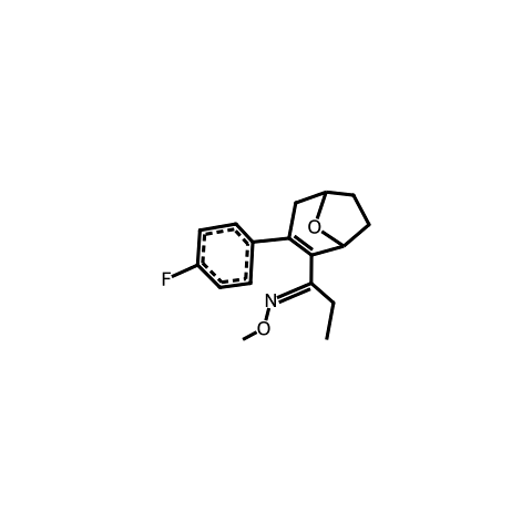 CCC(=NOC)C1=C(c2ccc(F)cc2)CC2CCC1O2